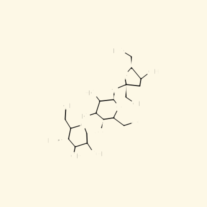 OCC1O[C@H](O[C@@H]2C(CO)O[C@H](O[C@@]3(CO)CC(O)[C@H](CO)O3)C(O)C2O)C(O)C(O)[C@@H]1O